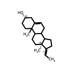 C/C=C1\CCC2C3CC=C4C[C@@H](O)CCC4(C)C3CC[C@]12C